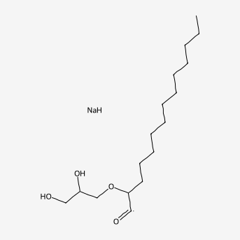 CCCCCCCCCCCCC([C]=O)OCC(O)CO.[NaH]